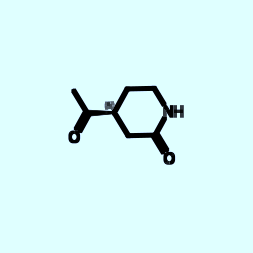 CC(=O)[C@H]1CCNC(=O)C1